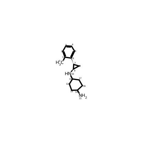 Cc1ccccc1[C@@H]1C[C@H]1NC1CCC(N)CC1